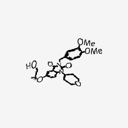 COc1ccc(Cn2c(=O)c3cc(O[C@@H](C)CO)ccc3n(C3CCOCC3)c2=O)cc1OC